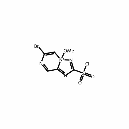 CO[N+]12C=C(Br)N=CC1=NC(S(=O)(=O)Cl)=N2